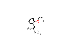 CC(=O)/C(=C\c1ccccc1OC(F)(F)F)[N+](=O)[O-]